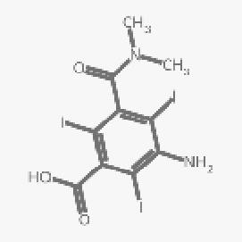 CN(C)C(=O)c1c(I)c(N)c(I)c(C(=O)O)c1I